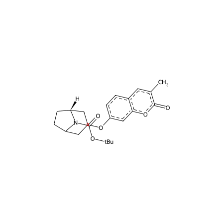 Cc1cc2ccc(OC3CC4CC[C@H](C3)N4C(=O)OC(C)(C)C)cc2oc1=O